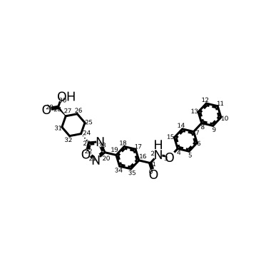 O=C(NOc1ccc(-c2ccccc2)cc1)c1ccc(-c2noc([C@H]3CC[C@H](C(=O)O)CC3)n2)cc1